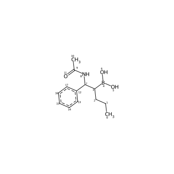 CCCC(B(O)O)C(NC(C)=O)c1ccccc1